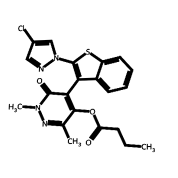 CCCC(=O)Oc1c(C)nn(C)c(=O)c1-c1c(-n2cc(Cl)cn2)sc2ccccc12